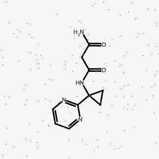 NC(=O)[CH]C(=O)NC1(c2ncccn2)CC1